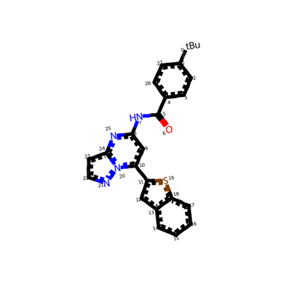 CC(C)(C)c1ccc(C(=O)Nc2cc(-c3cc4ccccc4s3)n3nccc3n2)cc1